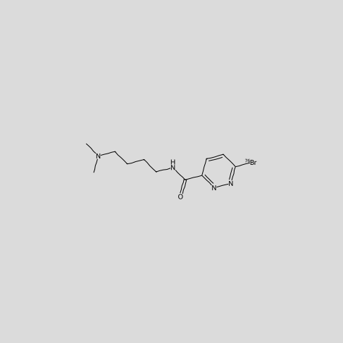 CN(C)CCCCNC(=O)c1ccc([76Br])nn1